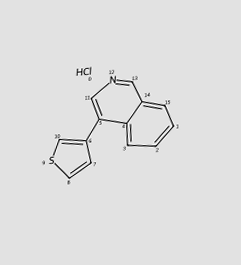 Cl.c1ccc2c(-c3ccsc3)cncc2c1